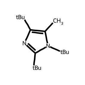 Cc1c(C(C)(C)C)nc(C(C)(C)C)n1C(C)(C)C